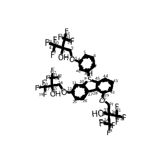 OC(COc1cccc([SH]2c3cc(OCC(O)(C(F)(F)F)C(F)(F)F)ccc3-c3c(OCC(O)(C(F)(F)F)C(F)(F)F)cccc32)c1)(C(F)(F)F)C(F)(F)F